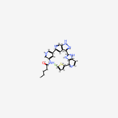 CCCCC(=O)Nc1cncc(-c2cc3c(-c4nc5c(-c6ccc(F)s6)nccc5[nH]4)n[nH]c3cn2)c1